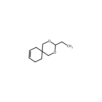 CCC1OCC2(CC=CCC2)CO1